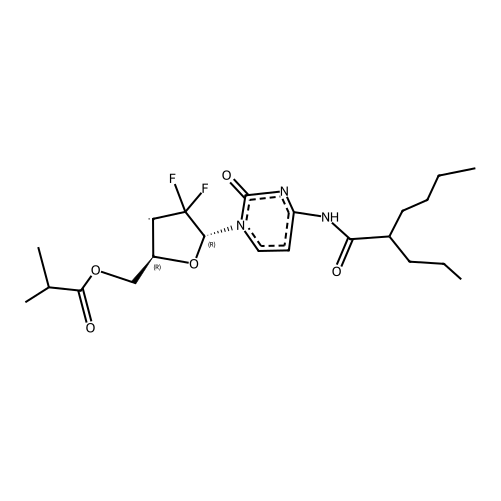 CCCCC(CCC)C(=O)Nc1ccn([C@@H]2O[C@@H](COC(=O)C(C)C)[CH]C2(F)F)c(=O)n1